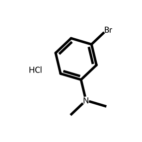 CN(C)c1cccc(Br)c1.Cl